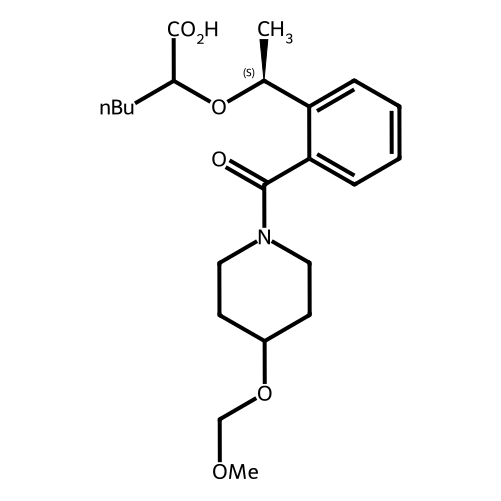 CCCCC(O[C@@H](C)c1ccccc1C(=O)N1CCC(OCOC)CC1)C(=O)O